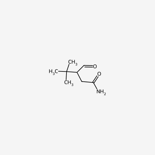 CC(C)(C)C(C=O)CC(N)=O